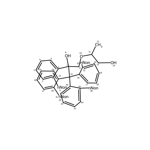 CCCCCCCCCc1ccccc1C(O)(COC(C)CO)C(c1ccccc1CCCCCCCCC)(c1ccccc1CCCCCCCCC)c1ccccc1CCCCCCCCC